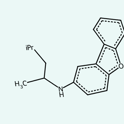 CC(C)CC(C)Nc1ccc2oc3ccccc3c2c1